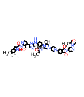 C=CC(=O)Nc1cc(Nc2nc(-c3ccnc(N4CCn5c(cc6c5CC(C)(C)C6)C4=O)c3CO)cnc2OC)ccc1N1CCN(C2CCN(c3ccc4c(c3)C(=O)N(c3ccnc(N5CCOC[C@H]5C)c3)C4=O)CC2)C[C@@H]1C